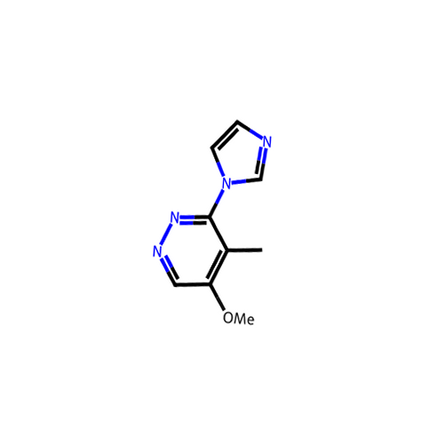 COc1cnnc(-n2ccnc2)c1C